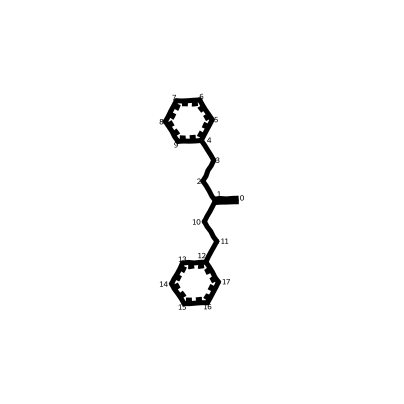 C=C(CCc1ccccc1)CCc1ccccc1